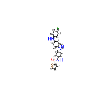 O=C(Nc1ccc(-n2ncc3cc(Nc4ccc(F)cc4)ccc32)cc1)c1cccs1